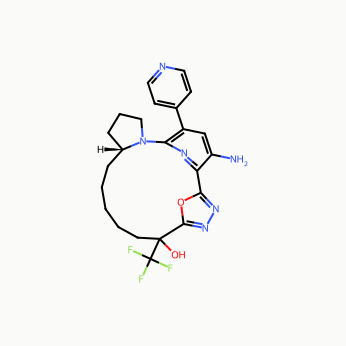 Nc1cc(-c2ccncc2)c2nc1-c1nnc(o1)C(O)(C(F)(F)F)CCCCC[C@@H]1CCCN21